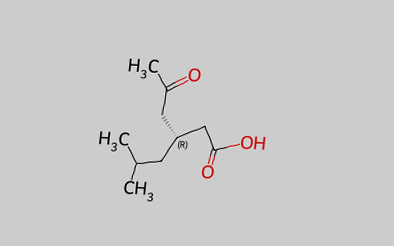 CC(=O)C[C@H](CC(=O)O)CC(C)C